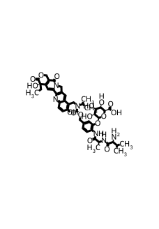 CC[C@@]1(O)C(=O)OCc2c1cc1n(c2=O)Cc2cc3c(CN(C(=O)OCc4ccc(NC(=O)[C@H](C)NC(=O)[C@@H](N)C(C)C)c(O[C@@H]5O[C@H](C(=O)O)[C@@H](O)[C@H](O)[C@H]5O)c4)C(C)C)c(O)ccc3nc2-1